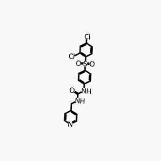 O=C(NCc1ccncc1)Nc1ccc(S(=O)(=O)c2ccc(Cl)cc2Cl)cc1